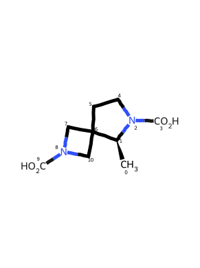 C[C@@H]1N(C(=O)O)CCC12CN(C(=O)O)C2